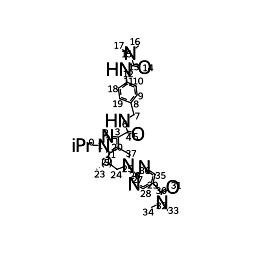 CC(C)n1nc(C(=O)NCc2ccc(NC(=O)N(C)C)cc2)c2c1[C@@H](C)CN(c1ncc(C(=O)N(C)C)cn1)C2